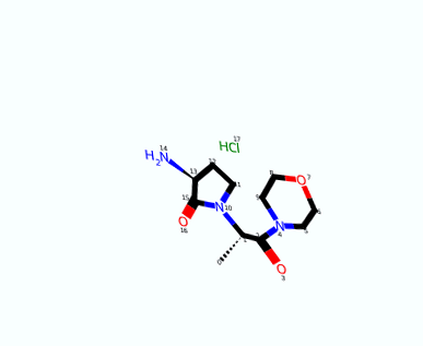 C[C@@H](C(=O)N1CCOCC1)N1CC[C@H](N)C1=O.Cl